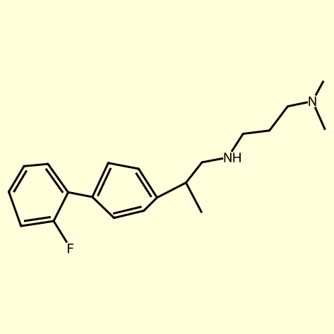 CC(CNCCCN(C)C)c1ccc(-c2ccccc2F)cc1